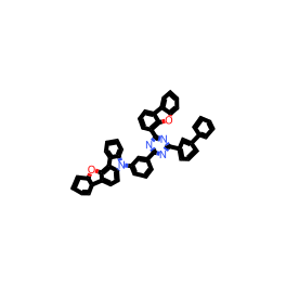 C1=CC2Oc3c(ccc4c3c3ccccc3n4-c3cccc(-c4nc(-c5cccc(-c6ccccc6)c5)nc(-c5cccc6c5oc5ccccc56)n4)c3)C2C=C1